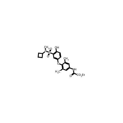 CCOC(=O)C(=O)Nc1cc(C)c(Oc2ccc(O)c(S(=O)(=O)N(C)C3CCC3)c2)c(C)c1